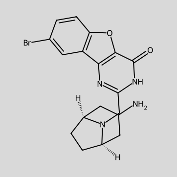 NC1C[C@H]2CC[C@@H](C1)N2Cc1nc2c(oc3ccc(Br)cc32)c(=O)[nH]1